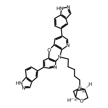 c1cc2[nH]ncc2cc1-c1cnc2c(c1)Oc1cc(-c3ccc4[nH]ncc4c3)cnc1N2CCCCCN1C[C@H]2C[C@@H]1CO2